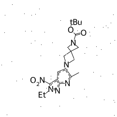 CCn1nc2nc(C)c(N3CC4(CN(C(=O)OC(C)(C)C)C4)C3)cc2c1[N+](=O)[O-]